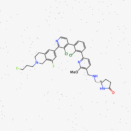 COc1nc(-c2cccc(-c3ccnc(-c4cc(F)c5c(c4)CCN(CCCF)C5)c3Cl)c2Cl)ccc1CNC[C@@H]1CCC(=O)N1